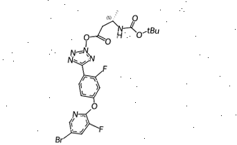 C[C@@H](CC(=O)On1nnc(-c2ccc(Oc3ncc(Br)cc3F)cc2F)n1)NC(=O)OC(C)(C)C